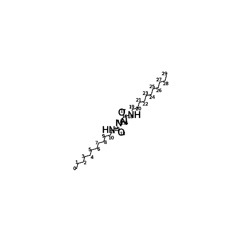 CCCCCCCCCCCNC(=O)N=NC(=O)NCCCCCCCCCCC